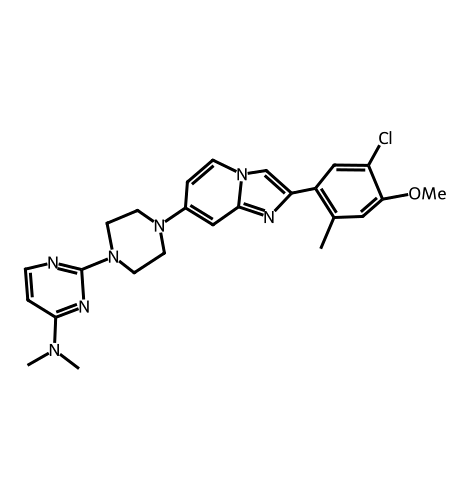 COc1cc(C)c(-c2cn3ccc(N4CCN(c5nccc(N(C)C)n5)CC4)cc3n2)cc1Cl